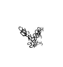 COc1c(F)cccc1C(=O)Nc1cn2cc(C34CCC(C)(C3)OC4)nc2c(OC)n1.O=C(O)C(F)(F)F